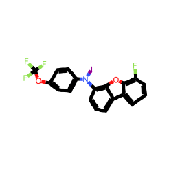 Fc1cccc2c1oc1c(N(I)c3ccc(OC(F)(F)F)cc3)cccc12